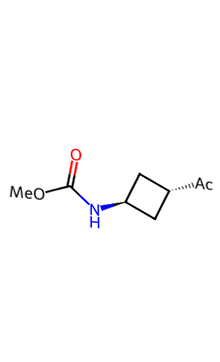 COC(=O)N[C@H]1C[C@H](C(C)=O)C1